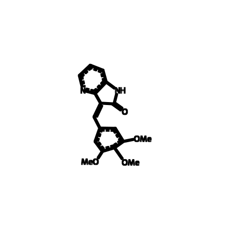 COc1cc(C=C2C(=O)Nc3cccnc32)cc(OC)c1OC